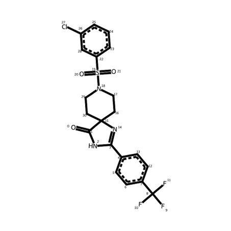 O=C1NC(c2ccc(C(F)(F)F)cc2)=NC12CCN(S(=O)(=O)c1cccc(Cl)c1)CC2